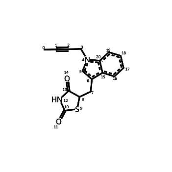 CC#CCn1cc(CC2SC(=O)NC2=O)c2ccccc21